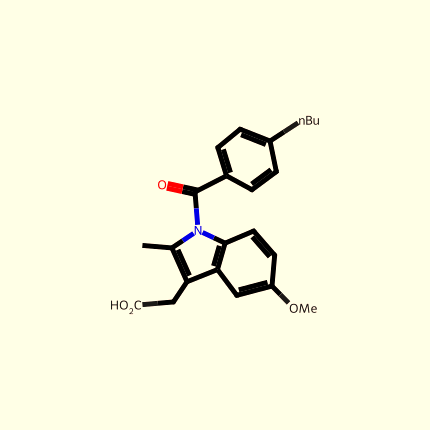 CCCCc1ccc(C(=O)n2c(C)c(CC(=O)O)c3cc(OC)ccc32)cc1